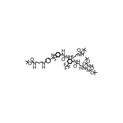 CC(C)(C)OC(=O)/N=C(/NCCCC(=O)Nc1cc(C(F)(F)F)cc(NC(=O)Nc2ccc3nc(C4=CC=C(NCCCNC(=O)OC(C)(C)C)CC4)sc3c2)c1SCCNC(=O)OC(C)(C)C)NC(=O)OC(C)(C)C